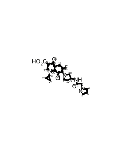 O=C(Cn1cccn1)NC1CCN(c2c(F)cc3c(=O)c(C(=O)O)cn(C4CC4)c3c2Cl)C1